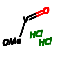 C[O][V]=[O].Cl.Cl